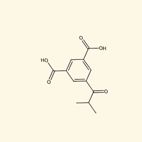 CC(C)C(=O)c1cc(C(=O)O)cc(C(=O)O)c1